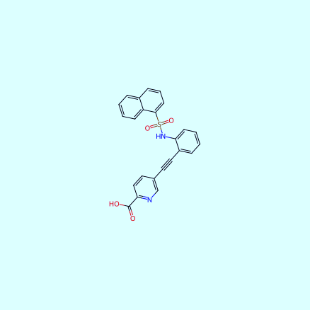 O=C(O)c1ccc(C#Cc2ccccc2NS(=O)(=O)c2cccc3ccccc23)cn1